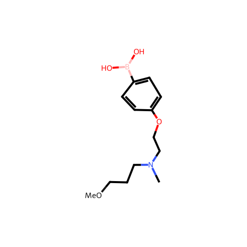 COCCCN(C)CCOc1ccc(B(O)O)cc1